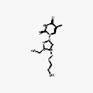 Cc1cn([C@H]2C[C@@H](SSCCO)[C@@H](CO)O2)c(=O)[nH]c1=O